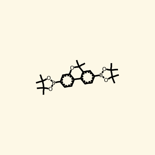 CC1(C)Oc2cc(B3OC(C)(C)C(C)(C)O3)ccc2-c2ccc(B3OC(C)(C)C(C)(C)O3)cc21